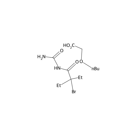 CCC(Br)(CC)C(=O)NC(N)=O.CCCCOCC(=O)O